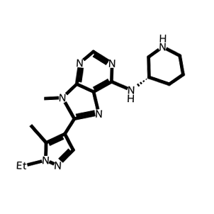 CCn1ncc(-c2nc3c(N[C@H]4CCCNC4)ncnc3n2C)c1C